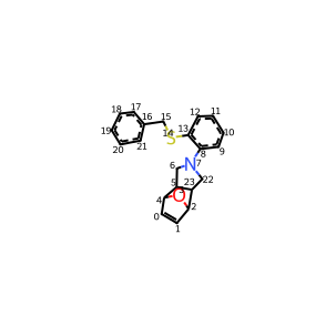 C1=CC2OC1C1CN(c3ccccc3SCc3ccccc3)CC21